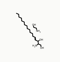 CCCCCCCCCCCCC/C=C/C(O)C(N)CO.NCCO